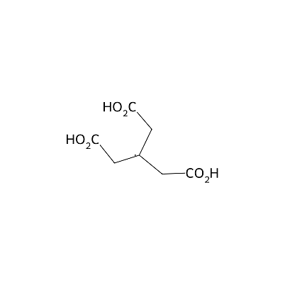 O=C(O)C[C](CC(=O)O)CC(=O)O